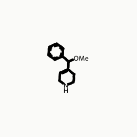 COC(C1=CCNCC1)c1ccccc1